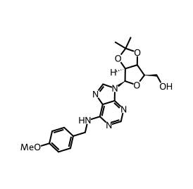 COc1ccc(CNc2ncnc3c2ncn3[C@@H]2O[C@H](CO)C3OC(C)(C)O[C@@H]32)cc1